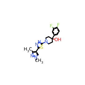 Cc1nn(C)cc1-c1nnc(N2CCC(O)(c3ccc(F)c(F)c3)CC2)s1